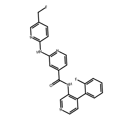 O=C(Nc1cnccc1-c1ccccc1F)c1ccnc(Nc2ccc(CF)cn2)c1